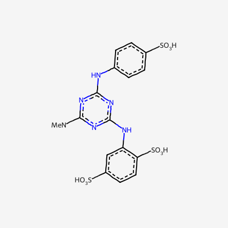 CNc1nc(Nc2ccc(S(=O)(=O)O)cc2)nc(Nc2cc(S(=O)(=O)O)ccc2S(=O)(=O)O)n1